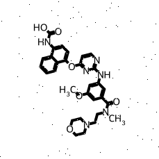 COc1cc(Nc2nccc(Oc3ccc(NC(=O)O)c4ccccc34)n2)cc(C(=O)N(C)CCN2CCOCC2)c1